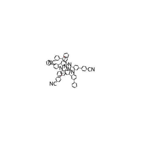 N#Cc1ccc(-c2ccc(-c3nc(-c4cccc(-c5cccc(C#N)c5)c4)nc(-c4ccc(-c5ccc(C#N)cc5)cc4-n4c5ccc(-c6ccccc6)cc5c5cc(-c6ccccc6)ccc54)n3)c(-n3c4ccc(-c5ccccc5)cc4c4cc(-c5ccccc5)ccc43)c2)cc1